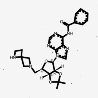 CC1(C)O[C@@H]2[C@H](O1)[C@@H](CN1CC3(CCN3)C1)O[C@H]2n1cnc2c(NC(=O)c3ccccc3)ncnc21